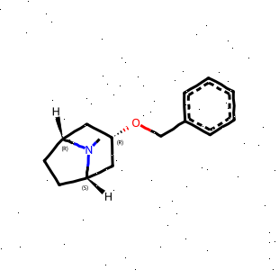 CN1[C@@H]2CC[C@H]1C[C@@H](OCc1ccccc1)C2